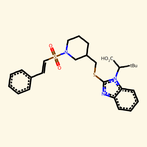 CC(C)(C)C(C(=O)O)n1c(SCC2CCCN(S(=O)(=O)C=Cc3ccccc3)C2)nc2ccccc21